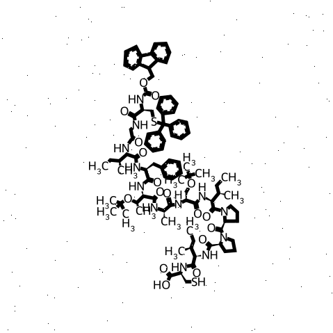 CC[C@H](C)[C@H](NC(=O)CNC(=O)[C@H](CSC(c1ccccc1)(c1ccccc1)c1ccccc1)NC(=O)OCC1c2ccccc2-c2ccccc21)C(=O)N[C@@H](Cc1ccccc1)C(=O)N[C@H](C(=O)N[C@@H](C)C(=O)N[C@@H](COC(C)(C)C)C(=O)N[C@H](C(=O)N1CCC[C@H]1C(=O)N1CCC[C@H]1C(=O)N[C@H](C(=O)N[C@@H](CS)C(=O)O)[C@@H](C)CC)[C@@H](C)CC)[C@@H](C)OC(C)(C)C